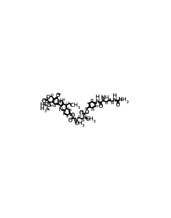 CCc1c2c(nc3ccc(OC(=O)N(C)CCN(C)C(=O)OCc4ccc(NC(=O)[C@@H](N)CCCNC(N)=O)cc4)cc13)-c1cc3c(c(=O)n1C2)COC(=O)[C@]3(O)CC